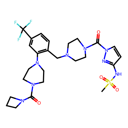 CS(=O)(=O)Nc1ccn(C(=O)N2CCN(Cc3ccc(C(F)(F)F)cc3N3CCN(C(=O)N4CCC4)CC3)CC2)n1